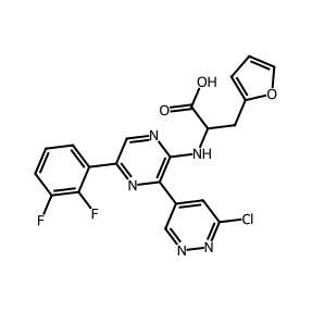 O=C(O)C(Cc1ccco1)Nc1ncc(-c2cccc(F)c2F)nc1-c1cnnc(Cl)c1